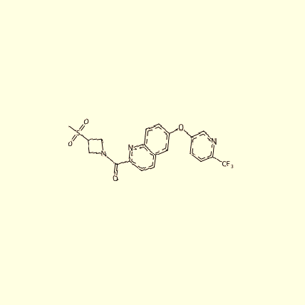 CS(=O)(=O)C1CN(C(=O)c2ccc3cc(Oc4ccc(C(F)(F)F)nc4)ccc3n2)C1